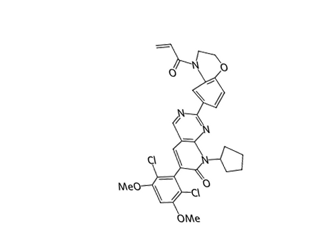 C=CC(=O)N1CCOc2ccc(-c3ncc4cc(-c5c(Cl)c(OC)cc(OC)c5Cl)c(=O)n(C5CCCC5)c4n3)cc21